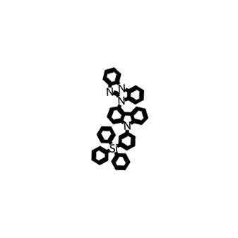 c1ccc([Si](c2ccccc2)(c2ccccc2)c2cccc(-n3c4ccccc4c4c(-n5c6ccccc6n6c7ccccc7nc56)cccc43)c2)cc1